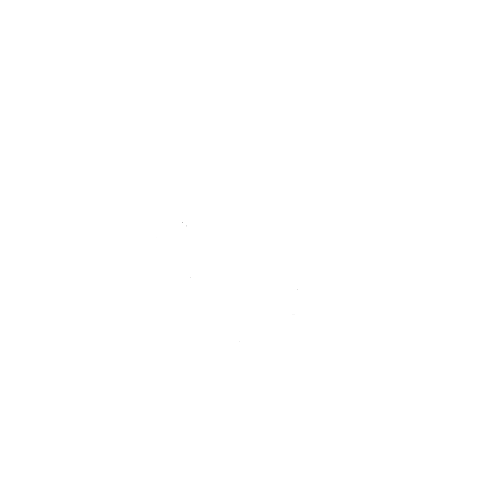 CC(C)(C)OC(=O)N1CC[C@@H](COc2ccccc2C(F)(F)F)C1